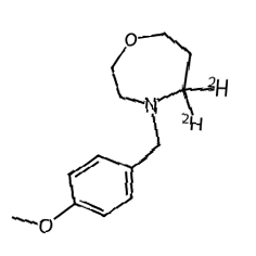 [2H]C1([2H])CCOCCN1Cc1ccc(OC)cc1